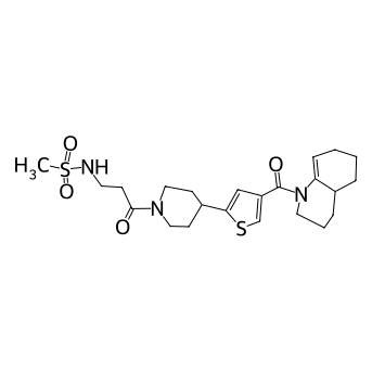 CS(=O)(=O)NCCC(=O)N1CCC(c2cc(C(=O)N3CCCC4CCCC=C43)cs2)CC1